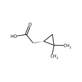 CC1(C)C[C@H]1CC(=O)O